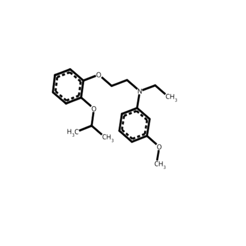 CCN(CCOc1ccccc1OC(C)C)c1cccc(OC)c1